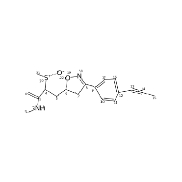 C=C(NC)C(CC1CC(c2ccc(C#CC)cc2)=NO1)[S+](C)[O-]